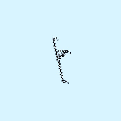 CCCCCCCCCCCCCCOCC(COCCCCCCCCCCCC)OC(=O)NCCN(C)C